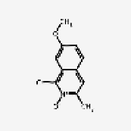 COc1ccc2cc(C)[n+]([O-])c(Cl)c2c1